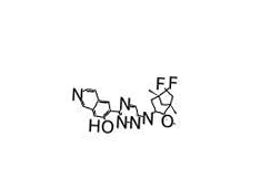 CO[C@@H]1[C@@H](N(C)c2cnc(-c3cc4ccncc4cc3O)nn2)C[C@@]2(C)C[C@]1(C)CC2(F)F